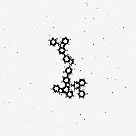 c1ccc(-c2nc(-n3c4cc(-c5ccc(-n6ccc7cc(-c8ccc9c(c8)c8ccccc8n9-c8ccccc8)ccc76)cc5)ccc4c4c5c6ccccc6oc5c5ccccc5c43)nc3ccccc23)cc1